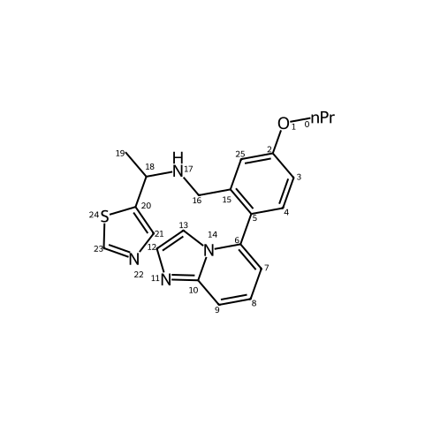 CCCOc1ccc(-c2cccc3nccn23)c(CNC(C)c2cncs2)c1